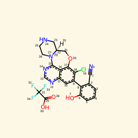 N#Cc1cccc(O)c1-c1cc2ncnc3c2c(c1Cl)OC[C@@H]1CNCCN31.O=C(O)C(F)(F)F